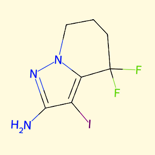 Nc1nn2c(c1I)C(F)(F)CCC2